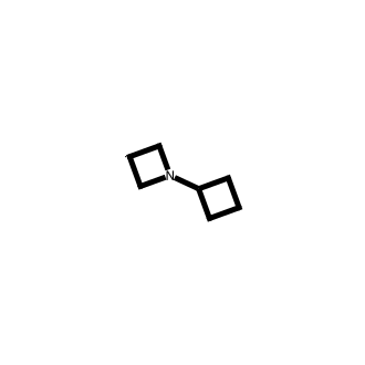 [CH]1CN(C2CCC2)C1